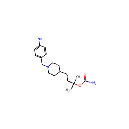 CC(C)(CCC1CCN(Cc2ccc(N)cc2)CC1)OC(N)=O